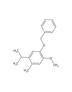 COc1cc(C)c(C(C)C)cc1OCc1ccccc1